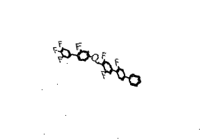 Fc1cc(OCc2c(F)cc(-c3ccc(-c4ccccc4)cc3F)cc2F)ccc1-c1cc(F)c(F)c(F)c1